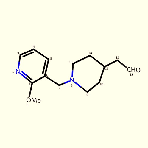 COc1ncccc1CN1CCC(CC=O)CC1